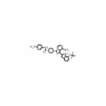 Cc1ccc(NC(=O)[C@H]2CC[C@H](c3nc(-c4cc5cccc(OC(F)(F)F)c5[nH]4)c4c(N)nccn43)CC2)cn1